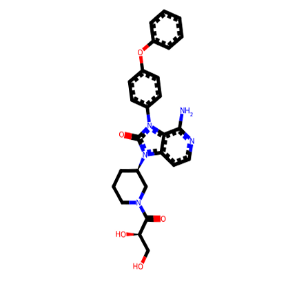 Nc1nccc2c1n(-c1ccc(Oc3ccccc3)cc1)c(=O)n2[C@@H]1CCCN(C(=O)[C@H](O)CO)C1